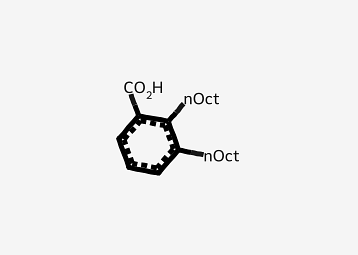 CCCCCCCCc1cccc(C(=O)O)c1CCCCCCCC